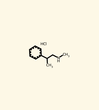 CNCC(C)c1ccccc1.Cl